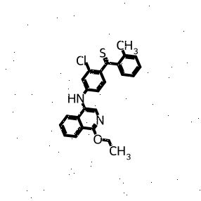 CCOc1ncc(Nc2ccc(C(=S)c3ccccc3C)c(Cl)c2)c2ccccc12